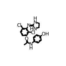 CC(=O)Nc1ccc(O)cc1.Clc1cccc(Cl)c1N=C1NCCN1